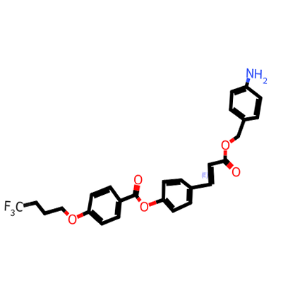 Nc1ccc(COC(=O)/C=C/c2ccc(OC(=O)c3ccc(OCCCC(F)(F)F)cc3)cc2)cc1